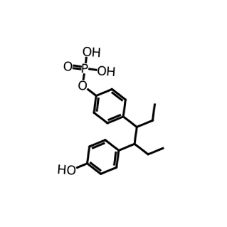 CCC(c1ccc(O)cc1)C(CC)c1ccc(OP(=O)(O)O)cc1